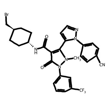 Cn1c(-c2ccnn2-c2ccc(C#N)cc2)c(C(=O)N[C@H]2CC[C@H](CBr)CC2)c(=O)n1-c1cccc(C(F)(F)F)c1